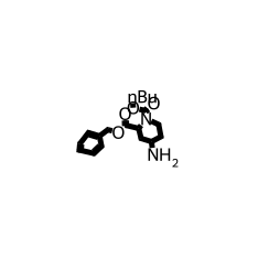 CCCCOC(=O)N1CCC(N)CC1C(=O)OCc1ccccc1